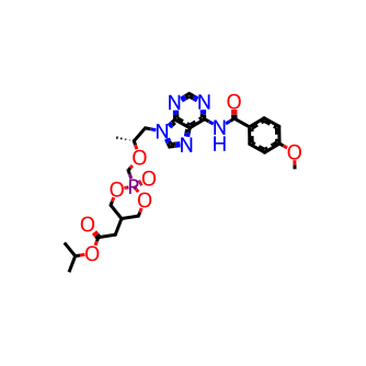 COc1ccc(C(=O)Nc2ncnc3c2ncn3C[C@@H](C)OCP2(=O)OCC(CC(=O)OC(C)C)CO2)cc1